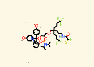 COc1ccc(C(OCC(COCC(CCCNC(=O)C(F)=S)(CCCC(F)(F)F)CCCC(F)(F)F)OP(OCCC#N)N(C(C)C)C(C)C)(c2ccccc2)c2ccc(OC)cc2)cc1